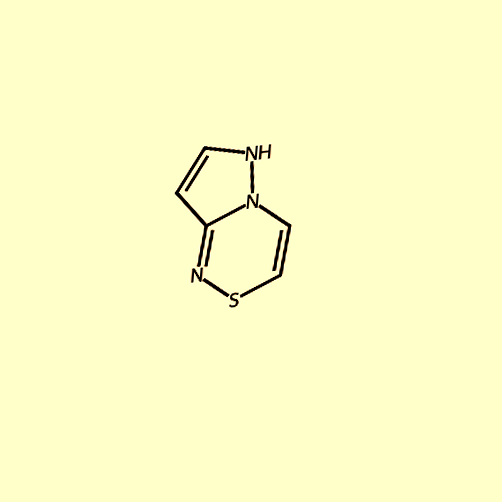 C1=CC2=NSC=CN2N1